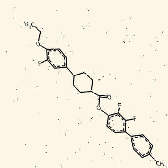 CCOc1ccc(C2CCC(C(=O)Oc3ccc(-c4ccc(C)cc4)c(F)c3F)CC2)cc1F